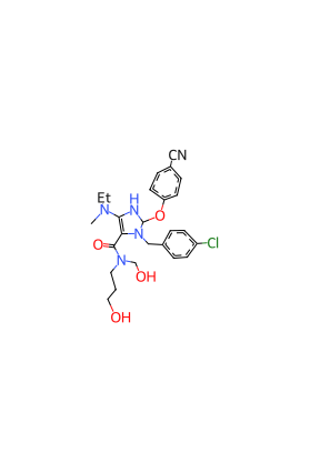 CCN(C)C1=C(C(=O)N(CO)CCCO)N(Cc2ccc(Cl)cc2)C(Oc2ccc(C#N)cc2)N1